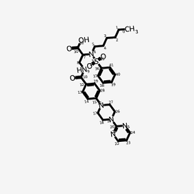 CCCCCCN(C(CNC(=O)c1ccc(N2CCN(c3ncccn3)CC2)cc1)C(=O)O)S(=O)(=O)c1ccccc1